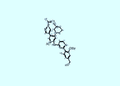 COc1cc(CO)cc(F)c1-c1nccc(Nc2cc(N3CCC[C@H](N)C3)c(-c3cnn(C(F)F)c3)cn2)n1.Cl